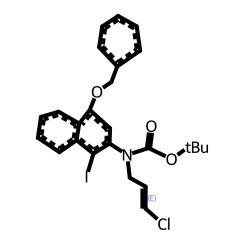 CC(C)(C)OC(=O)N(C/C=C/Cl)c1cc(OCc2ccccc2)c2ccccc2c1I